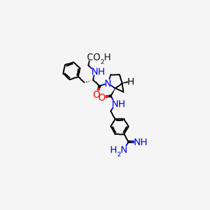 N=C(N)c1ccc(CNC(=O)[C@]23C[C@H]2CCN3C(=O)[C@H](Cc2ccccc2)NCC(=O)O)cc1